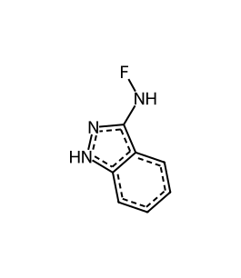 FNc1n[nH]c2ccccc12